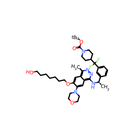 Cc1nnc(N[C@H](C)c2cccc(C(F)(F)C3CCN(C(=O)OC(C)(C)C)CC3)c2)c2cc(N3CCOCC3)c(OCCCCCCCO)cc12